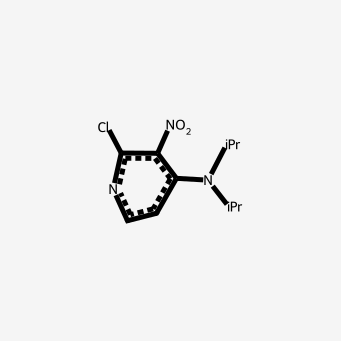 CC(C)N(c1ccnc(Cl)c1[N+](=O)[O-])C(C)C